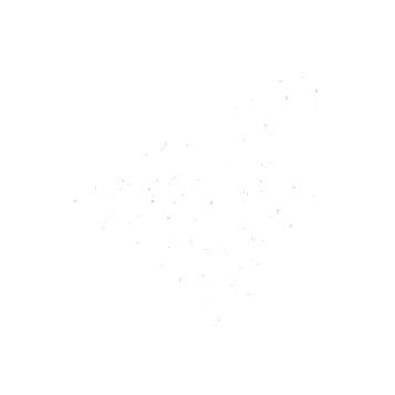 c1ccc(-c2cccc(-c3cc(-c4ccc(-c5c(-c6ccc7c8ccccc8c8ccccc8c7c6)sc6c5c(-c5ccccc5)nc5ccccc56)cc4)nc(-c4ccccc4)n3)c2)cc1